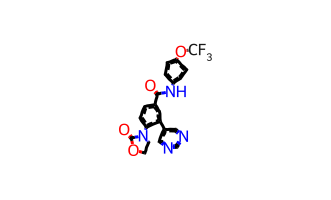 O=C(Nc1ccc(OC(F)(F)F)cc1)c1ccc(N2CCOC2=O)c(-c2cncnc2)c1